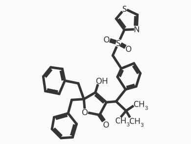 CC(C)(C)C(C1=C(O)C(Cc2ccccc2)(Cc2ccccc2)OC1=O)c1cccc(CS(=O)(=O)c2cscn2)c1